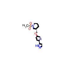 CS(=O)(=O)N1CCC[C@H](COc2ccc(-c3ccn[nH]3)nc2)C1